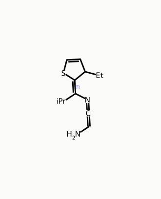 CCC1C=CS/C1=C(/N=C=CN)C(C)C